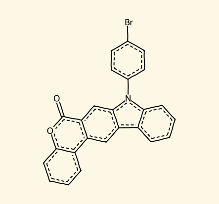 O=c1oc2ccccc2c2cc3c4ccccc4n(-c4ccc(Br)cc4)c3cc12